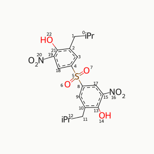 CC(C)Cc1cc(S(=O)(=O)c2cc(CC(C)C)c(O)c([N+](=O)[O-])c2)cc([N+](=O)[O-])c1O